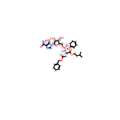 CC(C)CCOC(=O)[C@H](CC(=O)OCC1=CCCC=C1)NP(=O)(OCC1O[C@@H](n2cnc(C(N)=O)c2O)[C@H](O)[C@@H]1O)OC1=CC=CCC1